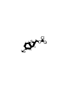 CSc1ccc2sc(COC(=O)Cl)cc2c1